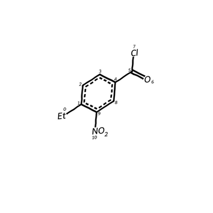 CCc1ccc(C(=O)Cl)cc1[N+](=O)[O-]